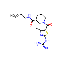 Cc1nc(NC(=N)N)sc1C(=O)N1CCCC(C(=O)NCCC(=O)O)C1